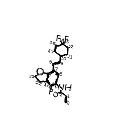 C=CC(=O)Nc1cc(/C=C/C2CCC(F)(F)CC2)c2c(c1F)CCO2